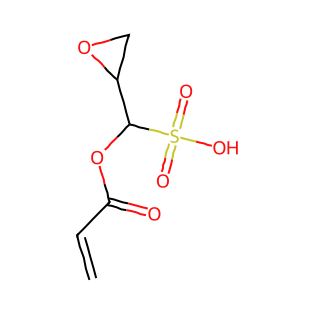 C=CC(=O)OC(C1CO1)S(=O)(=O)O